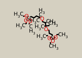 CCO[Si](CCCOC(C)(CC)C(C)COC(C)(C)CCC[Si](OCC)(OCC)OCC)(OCC)OCC